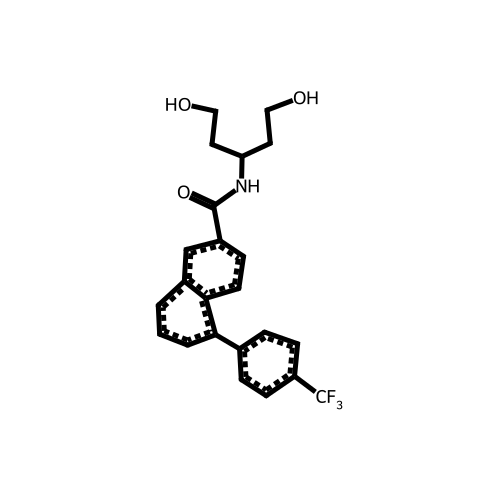 O=C(NC(CCO)CCO)c1ccc2c(-c3ccc(C(F)(F)F)cc3)cccc2c1